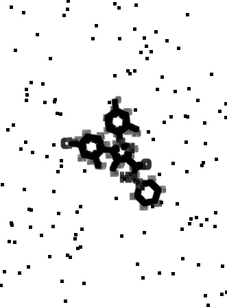 Cc1ccc(-n2nc(C(=O)NN3CCCCC3)c(C)c2-c2ccc(Cl)cc2C)c(C)c1